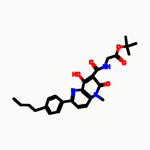 CCCCc1ccc(-c2ccc3c(n2)c(O)c(C(=O)NCC(=O)OC(C)(C)C)c(=O)n3C)cc1